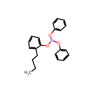 CCCCc1ccccc1OP(Oc1ccccc1)Oc1ccccc1